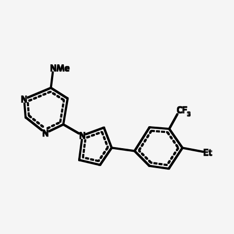 CCc1ccc(-c2ccn(-c3cc(NC)ncn3)c2)cc1C(F)(F)F